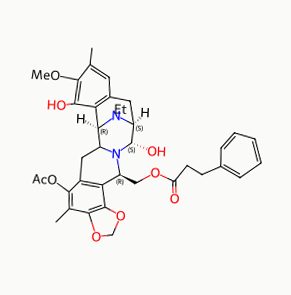 CCN1[C@@H]2c3c(cc(C)c(OC)c3O)C[C@H]1[C@H](O)N1C2Cc2c(OC(C)=O)c(C)c3c(c2[C@@H]1COC(=O)CCc1ccccc1)OCO3